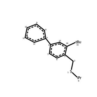 CC(C)SCc1ccc(-c2ccccc2)cc1C(C)(C)C